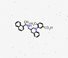 Cc1ccc(C(=O)O)cc1N1CC(CN[C@H](C)c2cccc3ccccc23)Cc2ccccc21